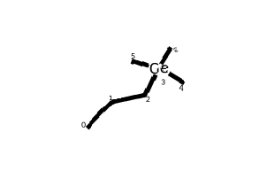 CC[CH2][Ge]([CH3])([CH3])[CH3]